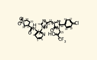 O=C(Nc1cccnc1-n1cnc(Cn2nc(-c3ccc(Cl)cc3)n(CC(O)C(F)(F)F)c2=O)n1)C1CCS(=O)(=O)C1